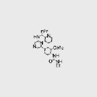 CCC[C@H](Nc1cncc(-c2ccc(NC(=O)NCC)c(OC)c2)n1)c1ccccn1